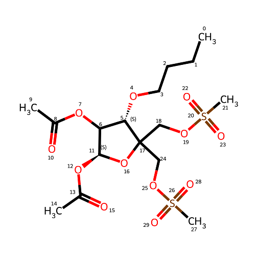 CCCCO[C@H]1C(OC(C)=O)[C@H](OC(C)=O)OC1(COS(C)(=O)=O)COS(C)(=O)=O